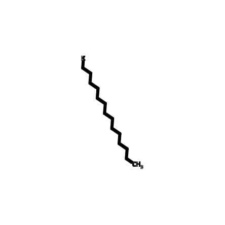 CCCCCCCCCCCCC[CH2][K]